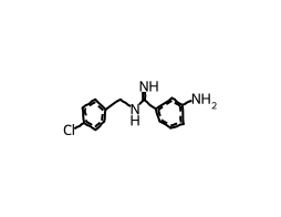 N=C(NCc1ccc(Cl)cc1)c1cccc(N)c1